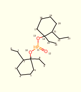 CCC1CCCCC1(CC)O[PH](=O)OC1(CC)CCCCC1CC